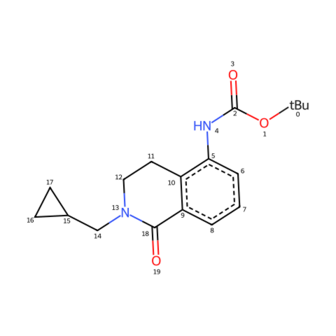 CC(C)(C)OC(=O)Nc1cccc2c1CCN(CC1CC1)C2=O